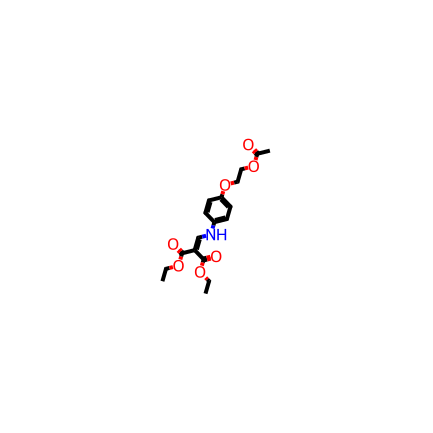 CCOC(=O)C(=CNc1ccc(OCCOC(C)=O)cc1)C(=O)OCC